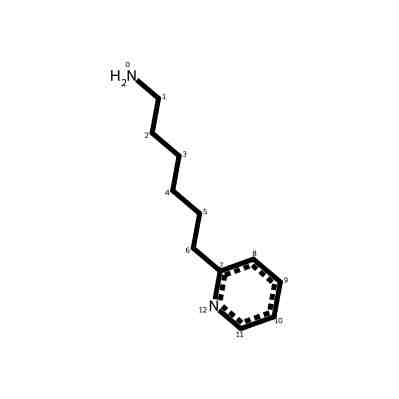 NCCCCCCc1ccccn1